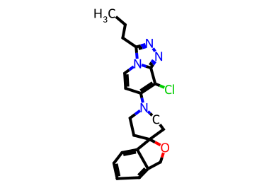 CCCc1nnc2c(Cl)c(N3CCC4(CC3)OCc3ccccc34)ccn12